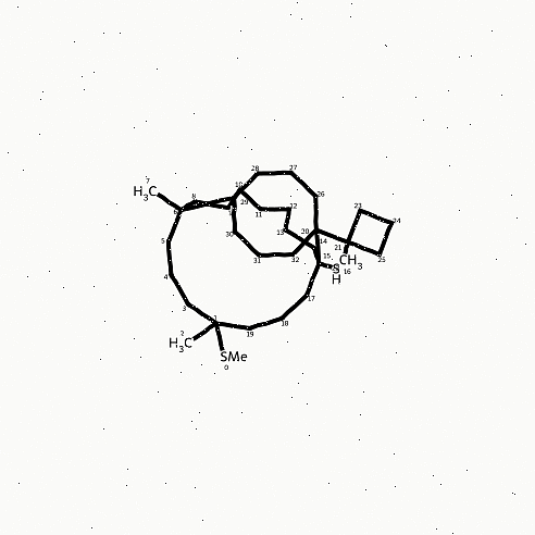 CSC1(C)CCCC2(C)CCCCCCCC(S)(CCC1)C1(C3(C)CCC3)CCCC2CCC1